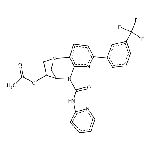 CC(=O)OC1CN2CC1N(C(=O)Nc1ccccn1)c1nc(-c3cccc(C(F)(F)F)c3)ccc12